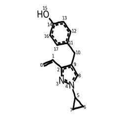 C=Cc1nn(C2CC2)cc1Cc1ccc(O)cc1